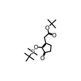 CC(C)(C)OC(=O)CC1=C(O[Si](C)(C)C(C)(C)C)C(=O)CC1